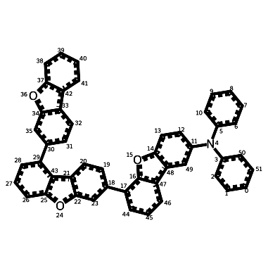 c1ccc(N(c2ccccc2)c2ccc3oc4c(-c5ccc6c(c5)oc5cccc(-c7ccc8c(c7)oc7ccccc78)c56)cccc4c3c2)cc1